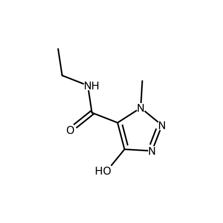 CCNC(=O)c1c(O)nnn1C